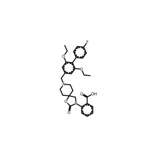 CCOc1cc(CN2CCC3(CC2)CN(c2ccccc2C(=O)O)C(=O)O3)cc(OCC)c1-c1ccc(F)cc1